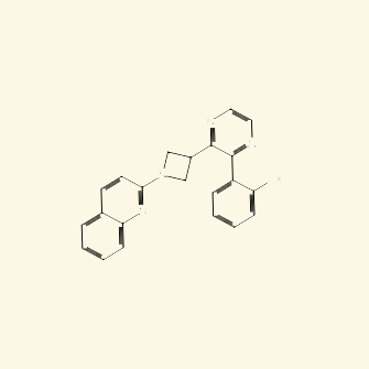 Oc1ccccc1-c1nccnc1C1CN(c2ccc3ccccc3n2)C1